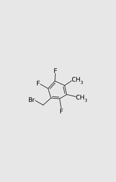 Cc1c(C)c(F)c(CBr)c(F)c1F